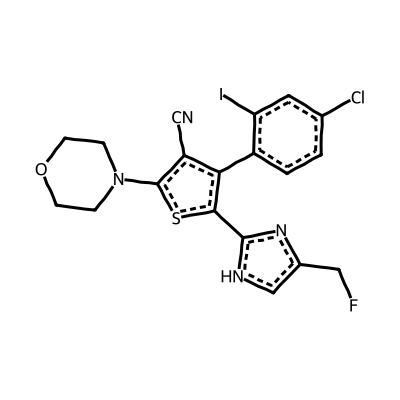 N#Cc1c(N2CCOCC2)sc(-c2nc(CF)c[nH]2)c1-c1ccc(Cl)cc1I